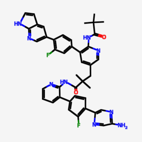 CC(C)(C)C(=O)Nc1ncc(CC(C)(C)C(=O)Nc2ncccc2-c2ccc(-c3cnc(N)cn3)c(F)c2)cc1-c1ccc(-c2cnc3[nH]ccc3c2)c(F)c1